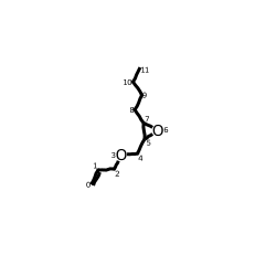 C=CCOCC1OC1CCCC